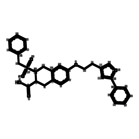 O=C(O)C1Cc2ccc(OCCc3coc(-c4ccccc4)n3)cc2CN1S(=O)(=O)Cc1ccccc1